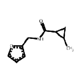 CC1CC1C(=O)NCc1ccco1